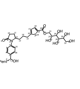 CCCCC[C@H](O)c1ccc(N2C(=O)CCC2CCCc2ccc(C(=O)OCC(O)C(O)C(O)C(O)CO)s2)cc1